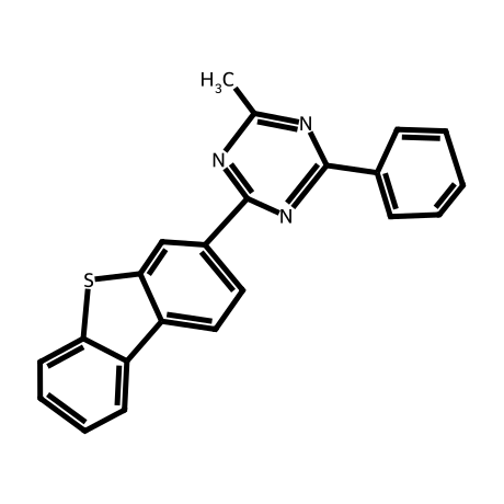 Cc1nc(-c2ccccc2)nc(-c2ccc3c(c2)sc2ccccc23)n1